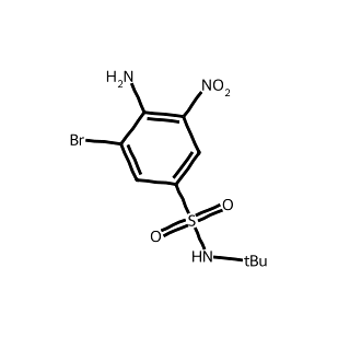 CC(C)(C)NS(=O)(=O)c1cc(Br)c(N)c([N+](=O)[O-])c1